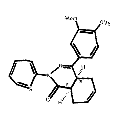 COc1ccc(C2=NN(c3ccccn3)C(=O)[C@@H]3CC=CC[C@H]23)cc1OC